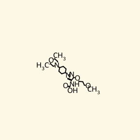 COCCCOc1nn(C2CCC(N3C[C@@H](C)O[C@@H](C)C3)CC2)cc1NC(=O)O